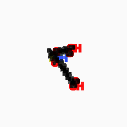 Cc1csc(NC(=O)CCCCCCCCCCC(=O)O)c1OCCCCC(=O)O